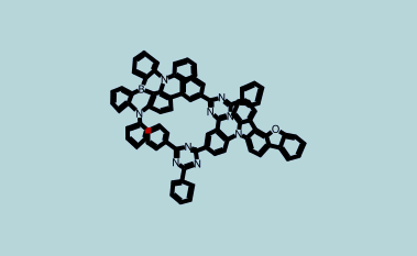 c1ccc(-c2nc(-c3ccccc3)nc(-c3ccc(-n4c5ccccc5c5c6oc7ccccc7c6ccc54)c(-c4nc(-c5ccccc5)nc(-c5cccc(-c6ccc7c8c6N(c6ccccc6)c6ccccc6B8c6ccccc6N7c6ccccc6)c5)n4)c3)n2)cc1